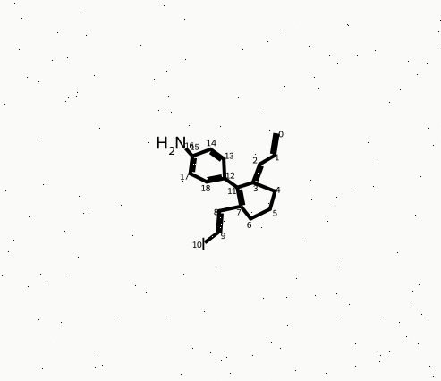 C=C/C=C1\CCCC(/C=C/I)=C1c1ccc(N)cc1